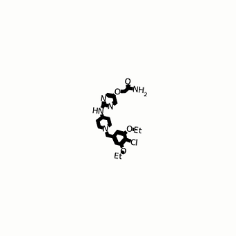 CCOc1cc(CN2CCC(Nc3ncc(OCC(N)=O)cn3)CC2)cc(OCC)c1Cl